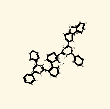 C1=CC(c2cc(-c3ccccc3)nc(-c3cccc4sc5c(-c6nc(-c7ccccc7)nc(-c7ccc8oc9ccccc9c8c7)n6)cccc5c34)n2)=CCC1